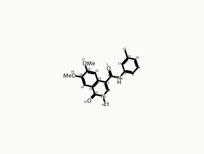 CCn1cc(C(=O)Nc2cccc(C)c2)c2cc(OC)c(OC)cc2c1=O